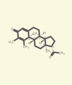 CC(=O)[C@H]1CC[C@H]2[C@@H]3CCC4=CC(=O)C(C)=C(C)[C@]4(C)[C@H]3CC[C@]12C